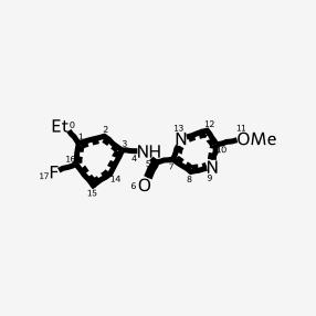 CCc1cc(NC(=O)c2cnc(OC)cn2)ccc1F